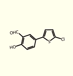 O=Cc1cc(-c2ccc(Cl)s2)ccc1O